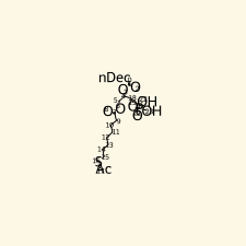 CCCCCCCCCCC(=O)O[C@H](COC(=O)CCCCCCCSC(C)=O)COP(=O)(O)O